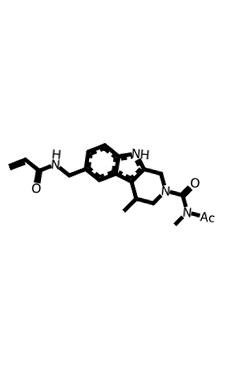 C=CC(=O)NCc1ccc2[nH]c3c(c2c1)C(C)CN(C(=O)N(C)C(C)=O)C3